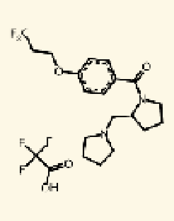 O=C(O)C(F)(F)F.O=C(c1ccc(OCCC(F)(F)F)cc1)N1CCC[C@H]1CN1CCCC1